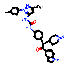 Cc1ccc(-n2nc(C(C)(C)C)cc2NC(=O)Nc2ccc(C(C(=O)c3ccc4[nH]ccc4c3)C3CCNCC3)cc2)cc1